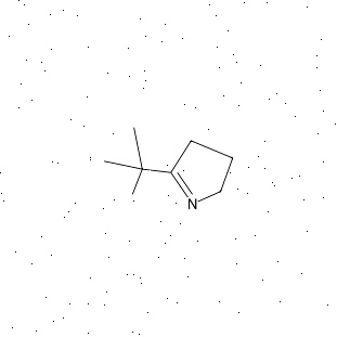 CC(C)(C)C1=NCCC1